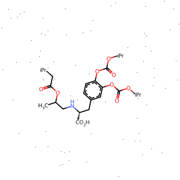 CC(C)CC(=O)OC(C)CN[C@@H](Cc1ccc(OC(=O)OC(C)C)c(OC(=O)OC(C)C)c1)C(=O)O